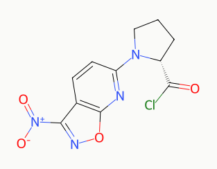 O=C(Cl)[C@H]1CCCN1c1ccc2c([N+](=O)[O-])noc2n1